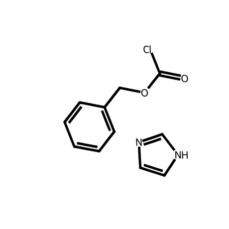 O=C(Cl)OCc1ccccc1.c1c[nH]cn1